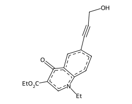 CCOC(=O)c1cn(CC)c2ccc(C#CCO)cc2c1=O